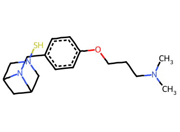 CN(C)CCCOc1ccc(CN2C3CC2CN(S)C3)cc1